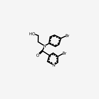 O=C(c1cncc(Br)c1)N(CCO)c1ccc(Br)cc1